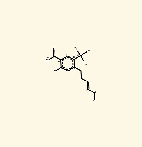 CC/C=C/CCc1cc(C)c(C(=O)Cl)cc1C(F)(F)F